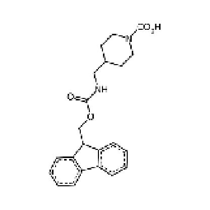 O=C(NCC1CCN(C(=O)O)CC1)OCC1c2ccccc2-c2ccccc21